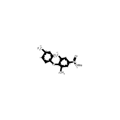 CO[N+](=O)c1cc(C)c(Sc2ccc(C(F)(F)F)cc2)c(C)c1